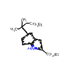 CCOC(=O)c1cc2cc(C(C)(C)C(=O)OCC)ccc2[nH]1